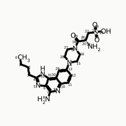 CCCCc1nc2c(N)nc3ccc(N4CCN(C(=O)[C@@H](N)CS(=O)(=O)O)CC4)cc3c2[nH]1